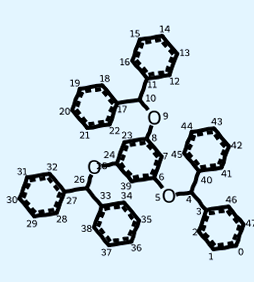 c1ccc(C(Oc2cc(OC(c3ccccc3)c3ccccc3)cc(OC(c3ccccc3)c3ccccc3)c2)c2ccccc2)cc1